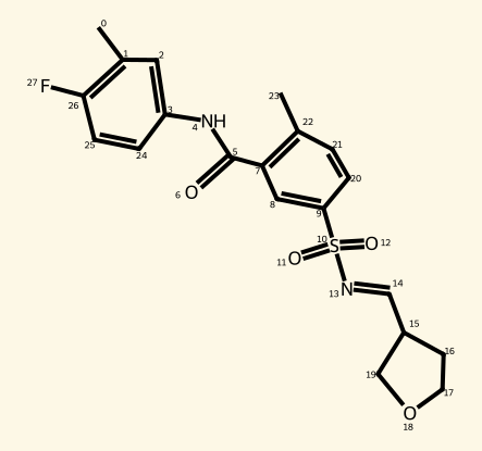 Cc1cc(NC(=O)c2cc(S(=O)(=O)/N=C/C3CCOC3)ccc2C)ccc1F